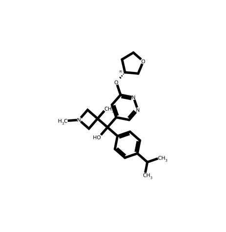 CC(C)c1ccc(C(O)(c2cnnc(O[C@@H]3CCOC3)c2)C2(C)CN(C)C2)cc1